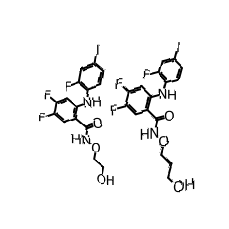 O=C(NOCCCO)c1cc(F)c(F)cc1Nc1ccc(I)cc1F.O=C(NOCCO)c1cc(F)c(F)cc1Nc1ccc(I)cc1F